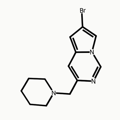 Brc1cc2cc(CN3CCCCC3)ncn2c1